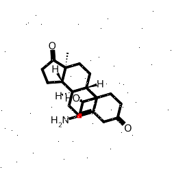 C[C@]12CC[C@H]3[C@@H](CC=C4CC(=O)CCC43C(O)CN)[C@@H]1CCC2=O